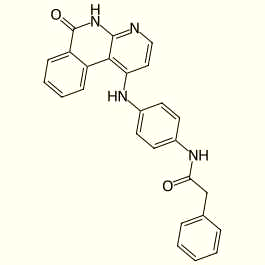 O=C(Cc1ccccc1)Nc1ccc(Nc2ccnc3[nH]c(=O)c4ccccc4c23)cc1